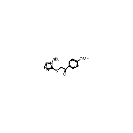 CCCCn1cnnc1SCC(=O)c1ccc(OC)cc1